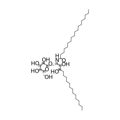 CCCCCCCCCCCCCCCCCC(=O)N[C@@H](CO[C@@H]1O[C@H](CO)[C@H](O)[C@H](O)[C@H]1O)[C@H](O)[C@H](O)CCCCCCCCCCCCCC